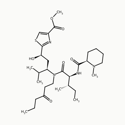 CCCC(=O)CCN(C(=O)[C@@H](NC(=O)[C@H]1CCCCN1C)[C@@H](C)CC)[C@H](C[C@@H](O)c1nc(C(=O)OC)cs1)C(C)C